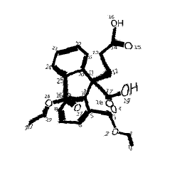 CCOC(=O)c1ccccc1C(CCC(=O)O)(C(=O)O)c1ccccc1C(=O)OCC